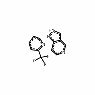 FC(F)(F)c1ccccn1.c1cc2n[nH]cc2cn1